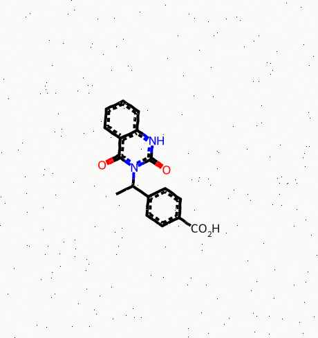 CC(c1ccc(C(=O)O)cc1)n1c(=O)[nH]c2ccccc2c1=O